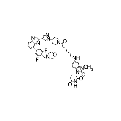 Cn1c(=O)n(C2CCC(=O)NC2=O)c2ccc(NCCCCCC(=O)N3CCC(n4cc(-c5cnc6cccc(-c7cc(F)c(CN8CCOCC8)c(F)c7)c6n5)cn4)CC3)cc21